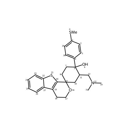 CSc1ccc(C2(O)CCC3(CC2CN(C)C)OCCc2c3sc3ccccc23)cc1